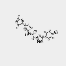 Cc1nc(C)c(-c2csc(NC(=O)Cn3cc(-c4ccc(Cl)cc4)nn3)n2)s1